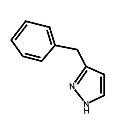 c1ccc(Cc2cc[nH]n2)cc1